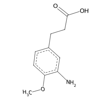 COc1ccc(CCC(=O)O)cc1N